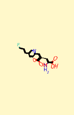 N[C@@H](C[C@H](Cc1ccc(CCCF)cn1)C(=O)O)C(=O)O